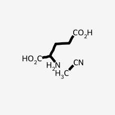 CC#N.NC(CCC(=O)O)C(=O)O